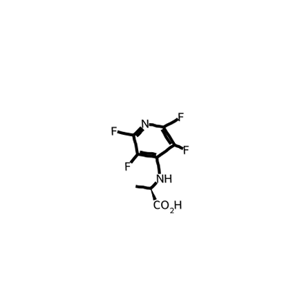 C[C@@H](Nc1c(F)c(F)nc(F)c1F)C(=O)O